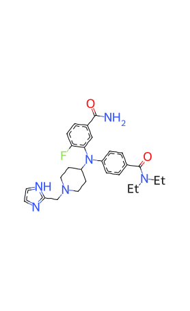 CCN(CC)C(=O)c1ccc(N(c2cc(C(N)=O)ccc2F)C2CCN(Cc3ncc[nH]3)CC2)cc1